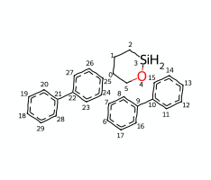 C1CC[SiH2]OC1.c1ccc(-c2ccccc2)cc1.c1ccc(-c2ccccc2)cc1